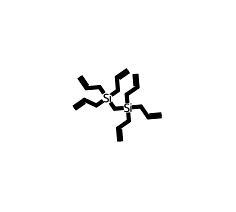 C=CC[Si](CC=C)(CC=C)C[Si](CC=C)(CC=C)CC=C